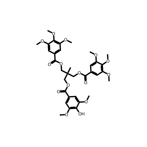 COc1cc(C(=O)OCC(C)(COC(=O)c2cc(OC)c(OC)c(OC)c2)COC(=O)c2cc(OC)c(OC)c(OC)c2)cc(OC)c1O